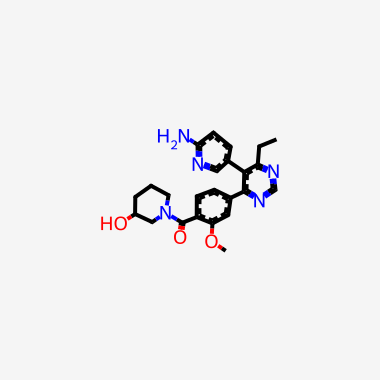 CCc1ncnc(-c2ccc(C(=O)N3CCCC(O)C3)c(OC)c2)c1-c1ccc(N)nc1